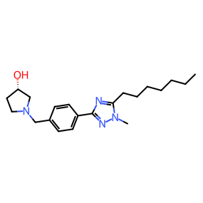 CCCCCCCc1nc(-c2ccc(CN3CC[C@H](O)C3)cc2)nn1C